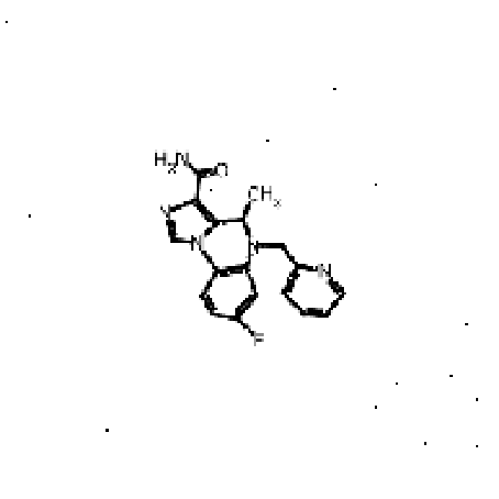 CC1c2c(C(N)=O)ncn2-c2ccc(F)cc2N1Cc1ccccn1